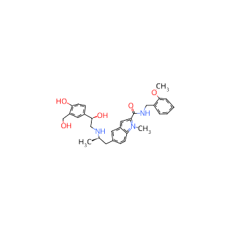 COc1ccccc1CNC(=O)c1cc2cc(C[C@@H](C)NC[C@H](O)c3ccc(O)c(CO)c3)ccc2n1C